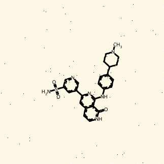 CN1CCC(c2ccc(Nc3nc(-c4cncc(S(N)(=O)=O)c4)cc4cc[nH]c(=O)c34)cc2)CC1